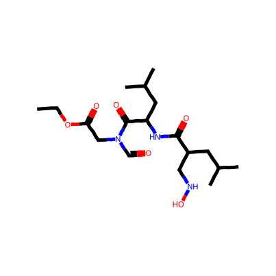 CCOC(=O)CN(C=O)C(=O)C(CC(C)C)NC(=O)C(CNO)CC(C)C